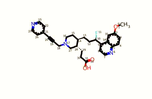 COc1ccc2nccc([C@H](F)CC[C@@H]3CCN(CC#Cc4ccncc4)C[C@H]3CCC(=O)O)c2c1